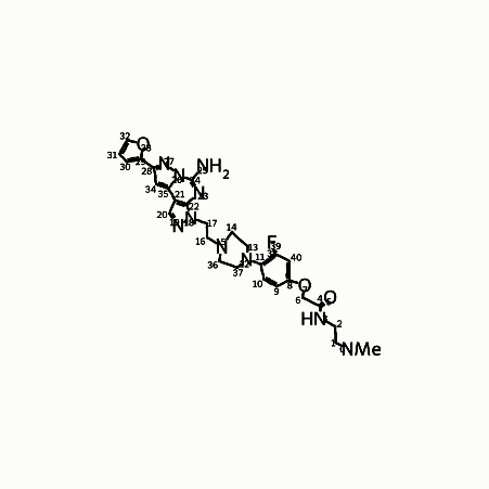 CNCCNC(=O)COc1ccc(N2CCN(CCn3ncc4c3nc(N)n3nc(-c5ccco5)cc43)CC2)c(F)c1